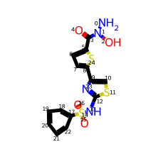 NN(O)C(=O)c1ccc(-c2csc(NS(=O)(=O)c3ccccc3)n2)s1